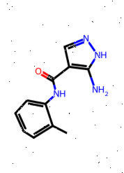 Cc1ccccc1NC(=O)c1cn[nH]c1N